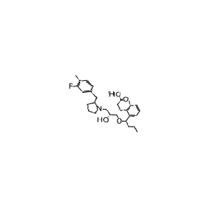 CCC[C@@H](OC[C@H](O)CN1CCC[C@H]1Cc1ccc(C)c(F)c1)c1cccc(C)c1CCC(=O)O